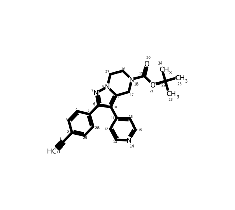 C#Cc1ccc(-c2nn3c(c2-c2ccncc2)CN(C(=O)OC(C)(C)C)CC3)cc1